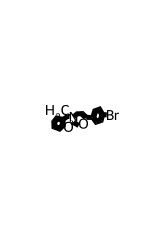 CC(c1ccccc1)N1CC=C(c2ccc(Br)cc2)OCC1=O